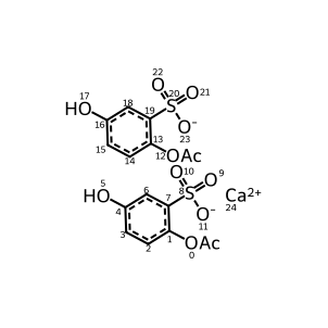 CC(=O)Oc1ccc(O)cc1S(=O)(=O)[O-].CC(=O)Oc1ccc(O)cc1S(=O)(=O)[O-].[Ca+2]